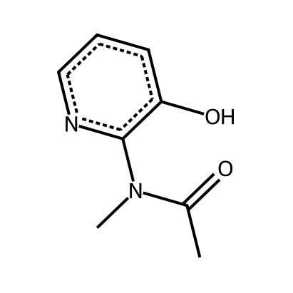 CC(=O)N(C)c1ncccc1O